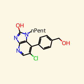 CCCCCn1c(O)nc2ncc(Cl)c(-c3ccc(CO)cc3)c21